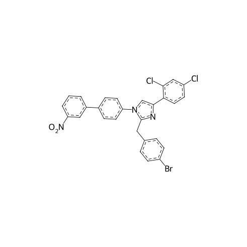 O=[N+]([O-])c1cccc(-c2ccc(-n3cc(-c4ccc(Cl)cc4Cl)nc3Cc3ccc(Br)cc3)cc2)c1